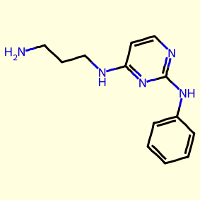 NCCCNc1ccnc(Nc2ccccc2)n1